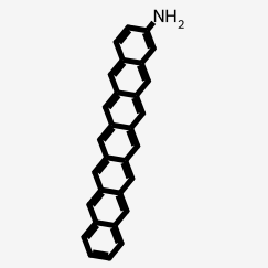 Nc1ccc2cc3cc4cc5cc6cc7ccccc7cc6cc5cc4cc3cc2c1